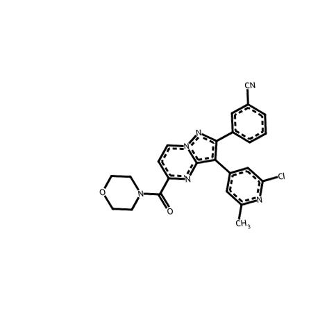 Cc1cc(-c2c(-c3cccc(C#N)c3)nn3ccc(C(=O)N4CCOCC4)nc23)cc(Cl)n1